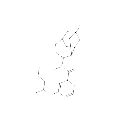 CCCC(C)OC1=CC(C(=O)N(C)C2CCC3CC4CC(O)(C3)CC42)CC=C1